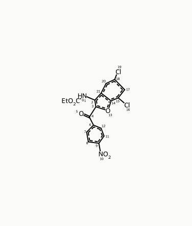 CCOC(=O)Nc1c(C(=O)c2ccc([N+](=O)[O-])cc2)oc2c(Cl)cc(Cl)cc12